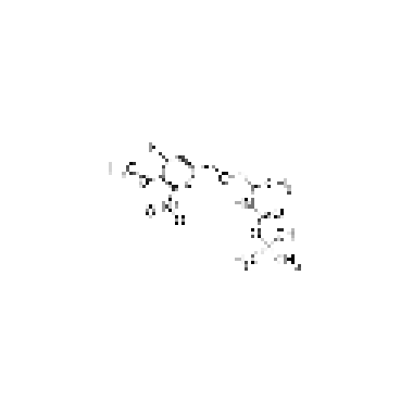 COc1c(F)cc(COCC(C)NC(=O)OC(C)(C)C)cc1[N+](=O)[O-]